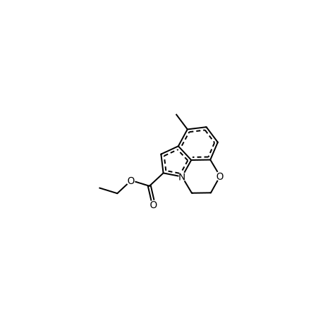 CCOC(=O)c1cc2c(C)ccc3c2n1CCO3